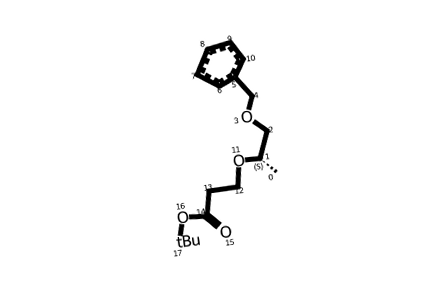 C[C@@H](COCc1ccccc1)OCCC(=O)OC(C)(C)C